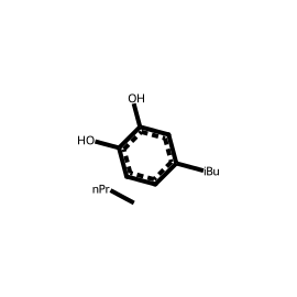 CCC(C)c1ccc(O)c(O)c1.CCCC